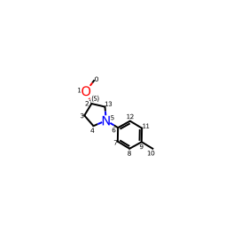 CO[C@H]1CCN(c2ccc(C)cc2)C1